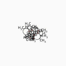 CC1=C[C@H]2C=C(C)[C@@H](C)[C@H]3[C@H](CC(C)C)NC(=O)[C@@]23C(=O)[C@H]2[C@H](C(=O)CCC1)[C@]1(O)C(=O)C(C)=C3[C@H]4O[C@@H]5[C@H]6[C@H](O[C@@]1(O)[C@]352)[C@H](O)CCC(C)=C[C@H]1C=C(C)[C@@H](C)[C@H]2[C@H](CC(C)C)NC(=O)[C@@]12C(=O)[C@@H]64